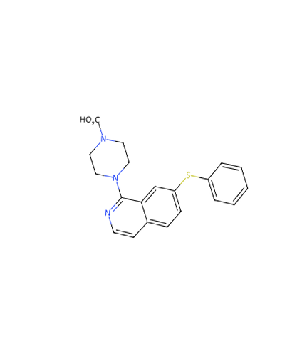 O=C(O)N1CCN(c2nccc3ccc(Sc4ccccc4)cc23)CC1